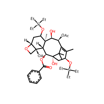 CC[Si](CC)(CC)OC1C[C@H]2OC[C@@]2(OC(C)=O)[C@H]2[C@H](OC(=O)c3ccccc3)[C@]3(O)C[C@H](O[Si](CC)(CC)CC)C(C)=C([C@H](OC(C)=O)[C@H](O)[C@]12C)C3(C)C